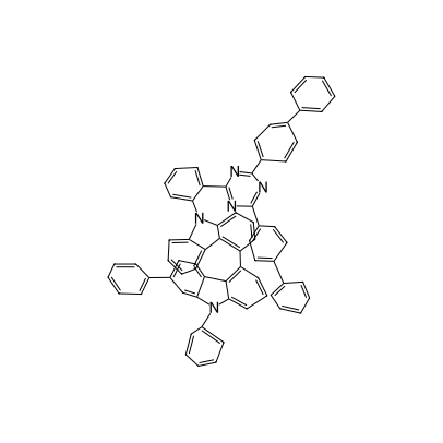 c1ccc(-c2ccc(-c3nc(-c4ccc(-c5ccccc5)cc4)nc(-c4ccccc4-n4c5ccccc5c5c(-c6cccc7c6c6ccc(-c8ccccc8)cc6n7-c6ccccc6)cccc54)n3)cc2)cc1